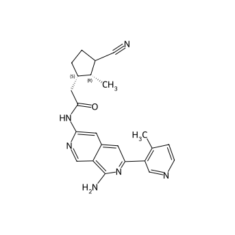 Cc1ccncc1-c1cc2cc(NC(=O)C[C@@H]3CCC(C#N)[C@@H]3C)ncc2c(N)n1